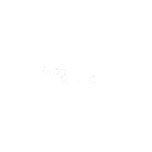 Nc1nc2c(sc(=O)n2CCN2CCN(c3ccc(O[C@H]4COC[C@@H]4O)cc3F)CC2)c2cc(-c3ccco3)nn12